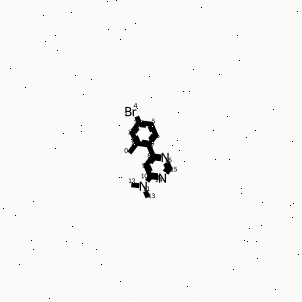 Cc1cc(Br)ccc1-c1cc(N(C)C)ncn1